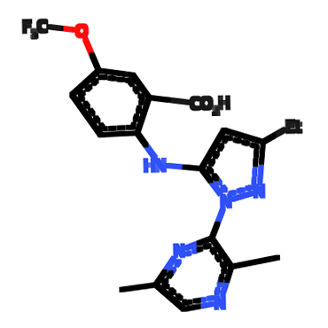 CCc1cc(Nc2ccc(OC(F)(F)F)cc2C(=O)O)n(-c2nc(C)cnc2C)n1